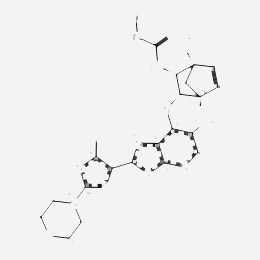 CC(C)NC(=O)O[C@@H]1[C@H](Nc2c(Cl)cnc3[nH]c(-c4sc(N5CCOCC5)nc4Cl)nc23)[C@H]2C=C[C@@H]1C2